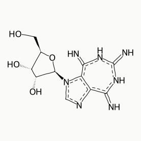 N=c1[nH]c(=N)c2ncn([C@@H]3O[C@H](CO)[C@@H](O)[C@H]3O)c2c(=N)[nH]1